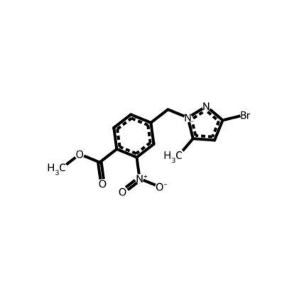 COC(=O)c1ccc(Cn2nc(Br)cc2C)cc1[N+](=O)[O-]